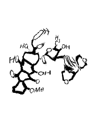 COc1cccc2c1C(=O)c1c(O)c3c(c(O)c1C2=O)C[C@@](O)(C(=O)CO)C[C@@H]3OC1CC(NN2CCOCC2N2CCOCC2)C(O)C(C)O1